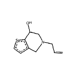 C=CCN1Cc2ccsc2C(O)C1